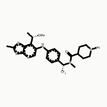 CO[C@@H](C)c1c(Nc2ccc([C@H](N(C)C(=O)C3CCN(C(C)=O)CC3)C(F)(F)F)cc2)cnc2sc(C)nc12